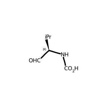 CC(C)[C@H](C=O)NC(=O)O